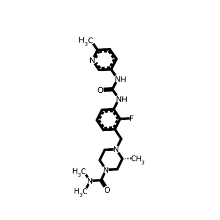 Cc1ccc(NC(=O)Nc2cccc(CN3CCN(C(=O)N(C)C)C[C@H]3C)c2F)cn1